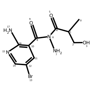 CC(CO)C(=O)N(N)C(=O)c1cc(Br)cnc1N